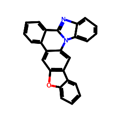 c1ccc2c(c1)nc1c3ccccc3c3cc4oc5ccccc5c4cc3n21